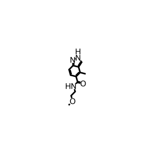 COCCNC(=O)c1ccc2n[nH]cc2c1C